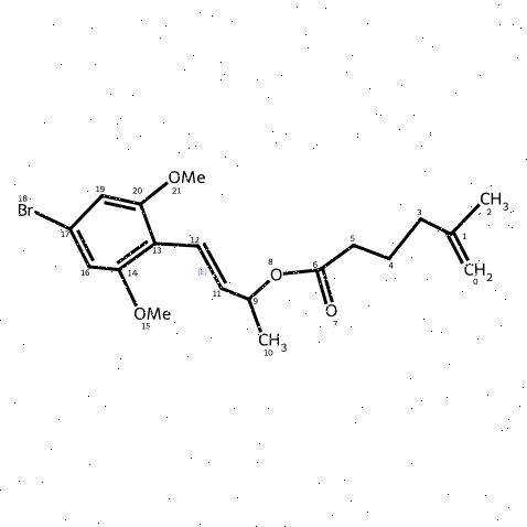 C=C(C)CCCC(=O)OC(C)/C=C/c1c(OC)cc(Br)cc1OC